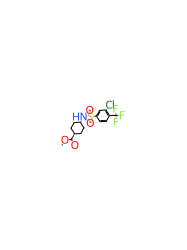 COC(=O)[C@H]1CC[C@H](NS(=O)(=O)c2ccc(C(F)(F)F)c(Cl)c2)CC1